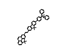 CC1(C)c2cc(/C=C/c3cc4c5c(ccc6cccc(c65)C4(C)C)c3)ccc2-c2ccc(-c3ccc(N(c4ccccc4)c4ccccc4)cc3)cc21